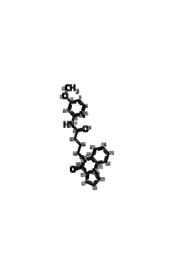 COc1ccnc(NC(=O)CCCn2c(=O)c3cccn3c3ccccc32)c1